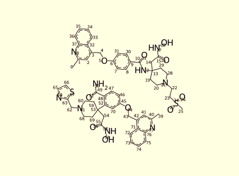 Cc1cc(COc2ccc(C(=O)NC3(CC(=O)NO)CCN(CCS(C)(=O)=O)CC3)cc2)c2ccccc2n1.Cc1cc(COc2ccc(C(N)=O)c(C3(CC(=O)NO)CCN(Cc4nccs4)CC3)c2)c2ccccc2n1